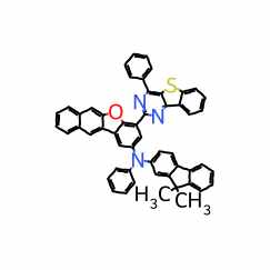 CC1(C)c2ccccc2-c2ccc(N(c3ccccc3)c3cc(-c4nc(-c5ccccc5)c5sc6ccccc6c5n4)c4oc5cc6ccccc6cc5c4c3)cc21